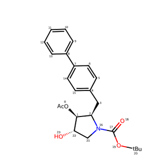 CC(=O)O[C@H]1[C@@H](Cc2ccc(-c3ccccc3)cc2)N(C(=O)OC(C)(C)C)C[C@@H]1O